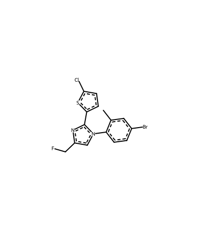 Cc1cc(Br)ccc1-n1cc(CF)nc1-c1ccc(Cl)s1